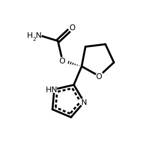 NC(=O)O[C@]1(c2ncc[nH]2)CCCO1